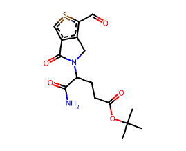 CC(C)(C)OC(=O)CCC(C(N)=O)N1Cc2c(csc2C=O)C1=O